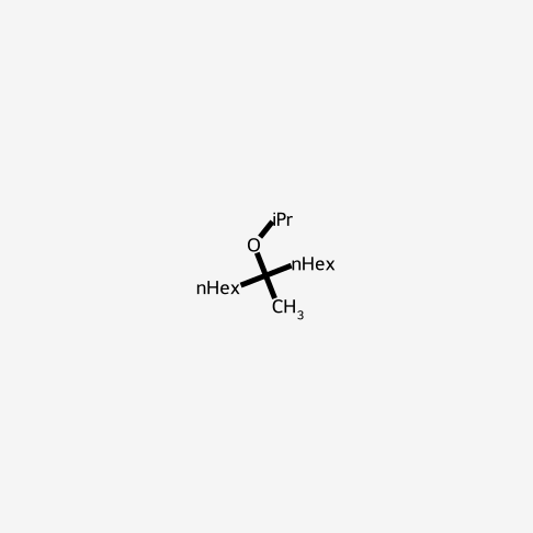 CCCCCCC(C)(CCCCCC)OC(C)C